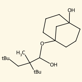 CC(C)(C)CC(C)(C(O)OC12CCCC(O)(CCC1)C2)C(C)(C)C